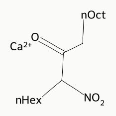 CCCCCCCCCC(=O)C(CCCCCC)[N+](=O)[O-].[Ca+2]